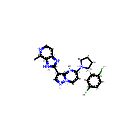 Cc1nccc2nc(-c3cnn4ccc(N5CCC[C@@H]5c5cc(F)ccc5F)nc34)[nH]c12